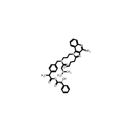 CCCCc1nc2c(N)nc3ccccc3c2n1CCCN(Cc1ccc(C(C)C(=O)OC(=O)[C@H](O)c2ccccc2)cc1)C(=O)CN(C)C